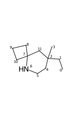 CCC1(C)CCNC2(CCC2)C1